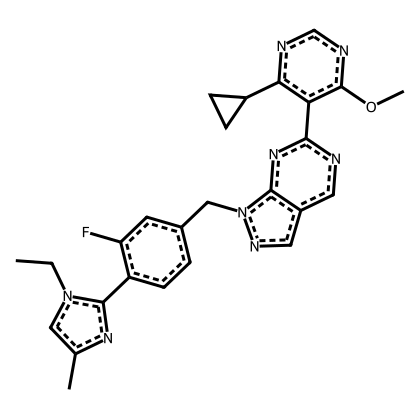 CCn1cc(C)nc1-c1ccc(Cn2ncc3cnc(-c4c(OC)ncnc4C4CC4)nc32)cc1F